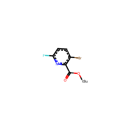 CC(C)(C)OC(=O)c1nc(F)ccc1Br